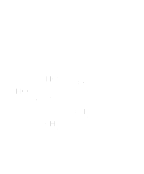 C=CC(=O)O.C=CC(=O)O.c1ccc2c(c1)-c1ccccc1-2